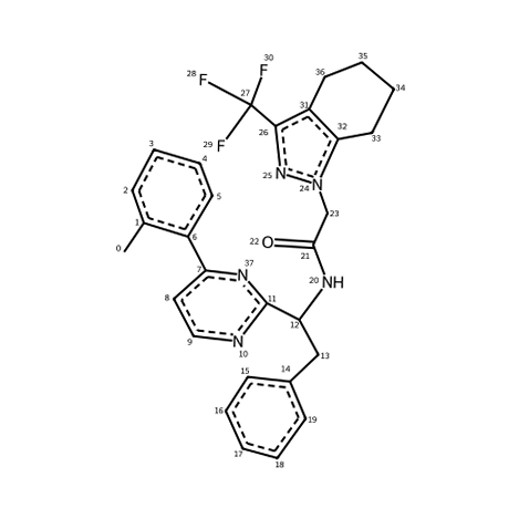 Cc1ccccc1-c1ccnc(C(Cc2ccccc2)NC(=O)Cn2nc(C(F)(F)F)c3c2CCCC3)n1